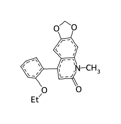 CCOc1ccccc1-c1cc(=O)n(C)c2cc3c(cc12)OCO3